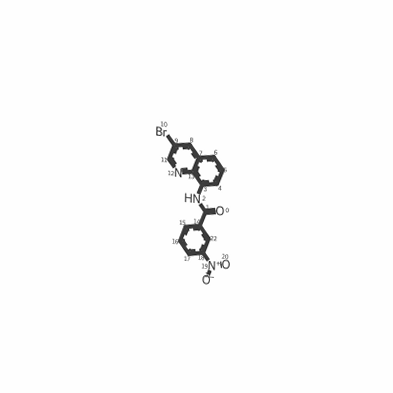 O=C(Nc1cccc2cc(Br)cnc12)c1cccc([N+](=O)[O-])c1